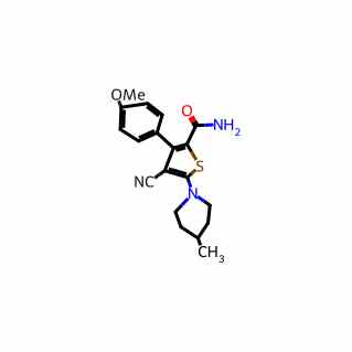 COc1ccc(-c2c(C(N)=O)sc(N3CCC(C)CC3)c2C#N)cc1